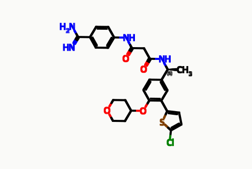 C[C@H](NC(=O)CC(=O)Nc1ccc(C(=N)N)cc1)c1ccc(OC2CCOCC2)c(-c2ccc(Cl)s2)c1